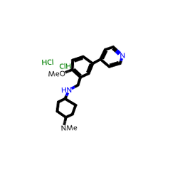 CNC1CCC(NCc2cc(-c3ccncc3)ccc2OC)CC1.Cl.Cl